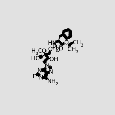 C#C[C@](CO[PH](=O)N[C@@H](Cc1ccccc1)C(=O)OC(C)C)(OC)[C@@H](O)Cn1cnc2c(N)nc(F)nc21